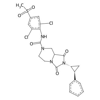 CS(=O)(=O)c1cc(Cl)c(NC(=O)N2CCN3C(=O)N([C@@H]4C[C@H]4c4ccccc4)C(=O)C3C2)c(Cl)c1